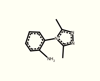 Cc1nnc(C)n1-c1ccccc1N